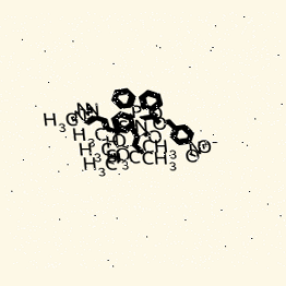 CC(=Cc1cn(C)nn1)C(=O)S[C@@H]1[C@@H]([C@@H](CO[SiH](C)C)C(C)(C)C)C(=O)N1C(C(=O)OCc1ccc([N+](=O)[O-])cc1)=P(c1ccccc1)(c1ccccc1)c1ccccc1